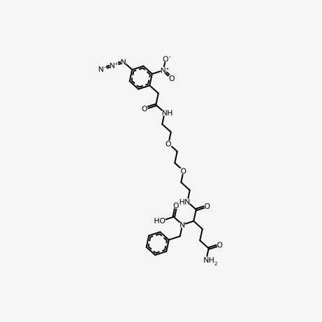 [N-]=[N+]=Nc1ccc(CC(=O)NCCOCCOCCNC(=O)C(CCC(N)=O)N(Cc2ccccc2)C(=O)O)c([N+](=O)[O-])c1